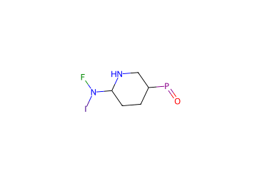 O=PC1CCC(N(F)I)NC1